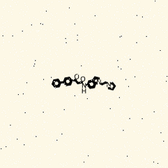 O=C(CC(=O)c1ccc(-c2ccccc2)cc1)Nc1ccc2c(ccn2CCN2CCCC2)c1